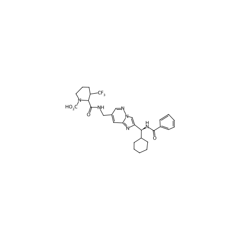 O=C(N[C@H](c1cn2ncc(CNC(=O)C3C(C(F)(F)F)CCCN3C(=O)O)cc2n1)C1CCCCC1)c1ccccc1